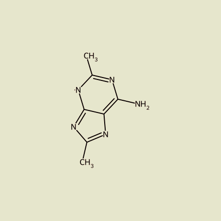 CC1=NC(N)=C2N=C(C)N=C2[N]1